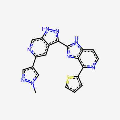 Cn1cc(-c2cc3c(-c4nc5c(-c6cccs6)nccc5[nH]4)n[nH]c3cn2)cn1